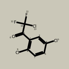 O=C(c1cc(Cl)ccc1Cl)C(F)(F)Cl